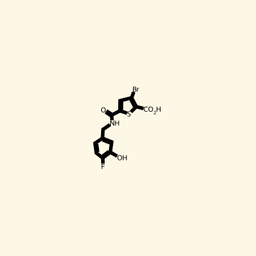 O=C(NCc1ccc(F)c(O)c1)c1cc(Br)c(C(=O)O)s1